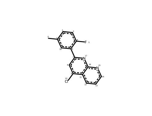 Cc1ccc(F)c(-c2cc(Cl)c3cccnc3n2)c1